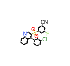 N#Cc1cc(F)cc(S(=O)(=O)c2cnc3ccccc3c2-c2cccc(Cl)c2)c1